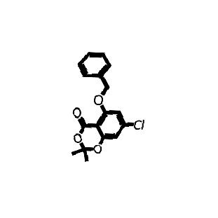 CC1(C)OC(=O)c2c(OCc3ccccc3)cc(Cl)cc2O1